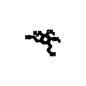 Cc1c(N)c(CCS)cc(CCS)c1N